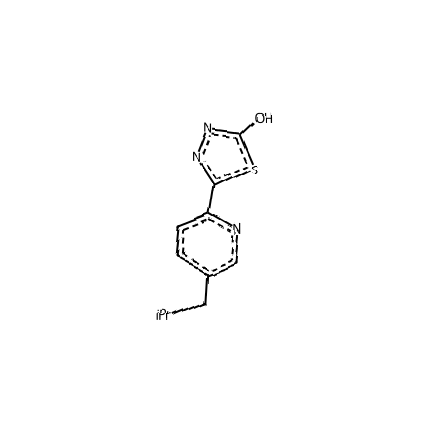 CC(C)Cc1ccc(-c2nnc(O)s2)nc1